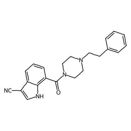 N#Cc1c[nH]c2c(C(=O)N3CCN(CCc4ccccc4)CC3)cccc12